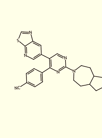 N#Cc1ccc(-c2nc(N3CCC4CNCC4CC3)ncc2-c2cnc3scnc3c2)cc1